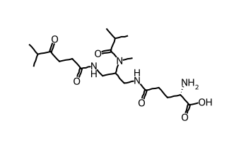 CC(C)C(=O)CCC(=O)NCC(CNC(=O)CC[C@H](N)C(=O)O)N(C)C(=O)C(C)C